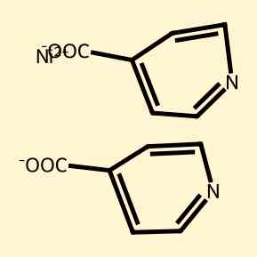 O=C([O-])c1ccncc1.O=C([O-])c1ccncc1.[Ni+2]